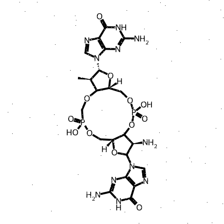 C[C@@H]1C2OCP(=O)(O)OC[C@H]3OC(n4cnc5c(=O)[nH]c(N)nc54)[C@H](N)C3OP(=O)(O)OC[C@H]2O[C@H]1n1cnc2c(=O)[nH]c(N)nc21